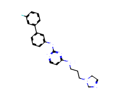 Fc1cccc(-c2cccc(Nc3nccc(NCCCN4CC=NC4)n3)c2)c1